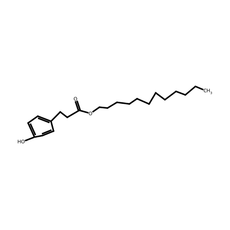 CCCCCCCCCCCCOC(=O)CCc1ccc(O)cc1